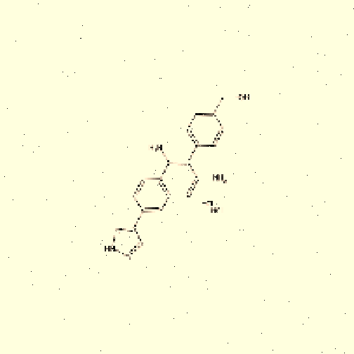 Cl.Cl.NC(=O)C(=C(N)c1ccc(-c2cn[nH]c2)cc1)c1ccc(CO)cc1